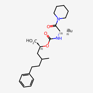 CC[C@H](C)[C@H](NC(=O)O[C@@H](CC(C)CCc1ccccc1)C(=O)O)C(=O)N1CCCCC1